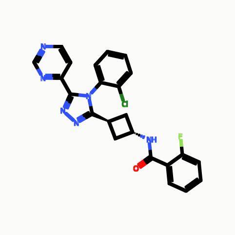 O=C(N[C@H]1C[C@H](c2nnc(-c3ccncn3)n2-c2ccccc2Cl)C1)c1ccccc1F